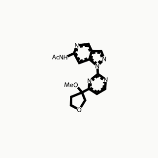 COC1(c2ccnc(-n3ncc4cnc(NC(C)=O)cc43)n2)CCOC1